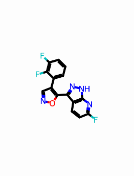 Fc1ccc2c(-c3oncc3-c3cccc(F)c3F)n[nH]c2n1